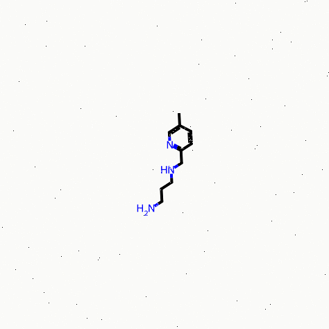 Cc1ccc(CNCCCN)nc1